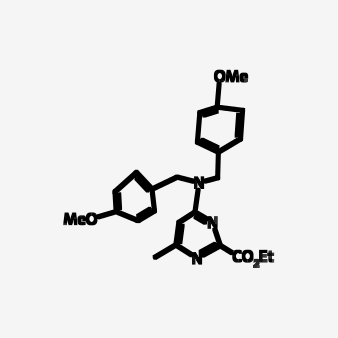 CCOC(=O)c1nc(C)cc(N(Cc2ccc(OC)cc2)Cc2ccc(OC)cc2)n1